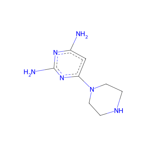 Nc1cc(N2CCNCC2)nc(N)n1